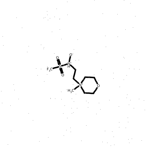 C[N+]1(CC[NH+]([O-])S(=O)(=O)C(F)(F)F)CCOCC1